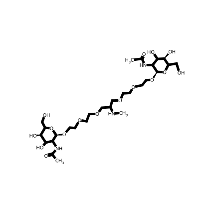 CNC(COCCOCCO[C@@H]1OC(CO)[C@H](O)C(O)C1NC(C)=O)COCCOCCO[C@@H]1OC(CO)[C@H](O)C(O)C1NC(C)=O